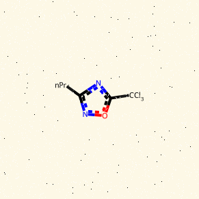 CCCc1noc(C(Cl)(Cl)Cl)n1